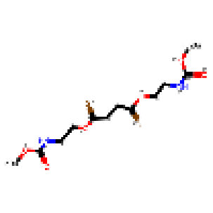 CCCCOC(=O)NCCOC(=S)CCC(=S)OCCNC(=O)OCCCC